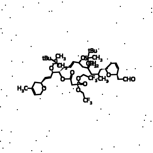 C=C(CC(/C=C/C[C@H](OC(=O)CP(=O)(OCC(F)(F)F)OCC(F)(F)F)[C@H](/C=C/[C@@H]1CC(C)=CCO1)O[Si](C)(C)C(C)(C)C)O[Si](C)(C)C(C)(C)C)C[C@H](C)C[C@@H]1CC=C[C@@H](CC=O)O1